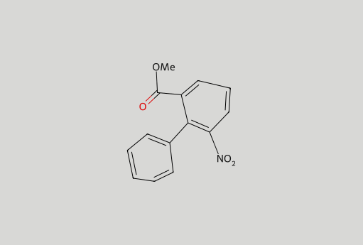 COC(=O)c1cccc([N+](=O)[O-])c1-c1ccccc1